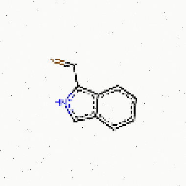 S=[C]c1[nH]cc2ccccc12